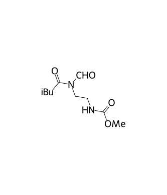 CCC(C)C(=O)N(C=O)CCNC(=O)OC